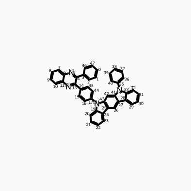 c1ccc(-c2nc3ccccc3nc2-c2ccc(-n3c4ccccc4c4cc5c6ccccc6n(-c6ccccc6)c5cc43)cc2)cc1